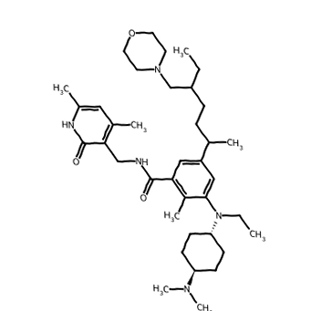 CCC(CCC(C)c1cc(C(=O)NCc2c(C)cc(C)[nH]c2=O)c(C)c(N(CC)[C@H]2CC[C@H](N(C)C)CC2)c1)CN1CCOCC1